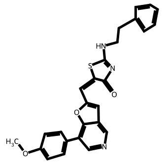 COc1ccc(-c2cncc3cc(C=C4SC(NCCc5ccccc5)=NC4=O)oc23)cc1